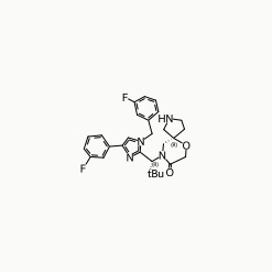 CC(C)(C)[C@H](c1nc(-c2cccc(F)c2)cn1Cc1cccc(F)c1)N1C[C@]2(CCNC2)OCC1=O